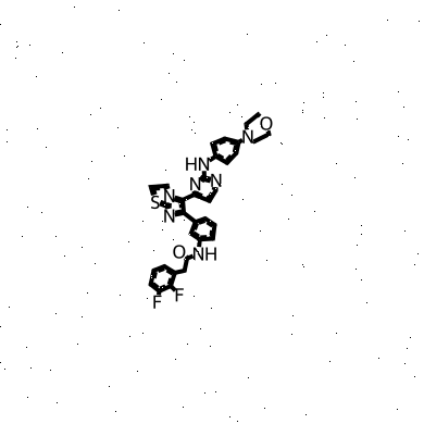 O=C(Cc1cccc(F)c1F)Nc1cccc(-c2nc3sccn3c2-c2ccnc(Nc3ccc(N4CCOCC4)cc3)n2)c1